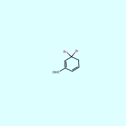 O=CC1=CC(Br)(Br)CC=C1